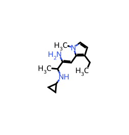 CCc1ccn(C)c1/C=C(\N)C(C)NC1CC1